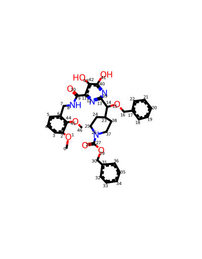 COc1cccc(CNC(=O)c2nc(C(OCc3ccccc3)C3CCN(C(=O)OCc4ccccc4)CC3)nc(O)c2O)c1OC